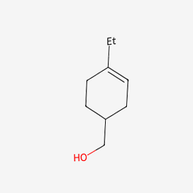 CCC1=CCC(CO)CC1